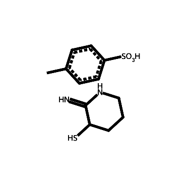 Cc1ccc(S(=O)(=O)O)cc1.N=C1NCCCC1S